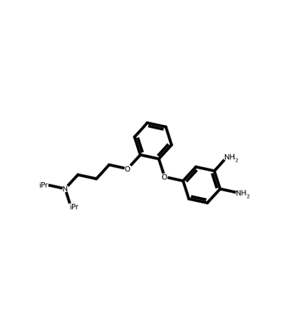 CC(C)N(CCCOc1ccccc1Oc1ccc(N)c(N)c1)C(C)C